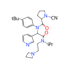 CC(C)N(CCN1CCC1)C(=O)C(c1cccnc1)N(C(=O)C1CCCN1C#N)c1ccc(C(C)(C)C)cc1